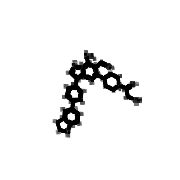 Nc1c(C=O)c(C2CCN(C(=O)CO)CC2)nc2c(-c3ccc(-c4ccc5c(c4)CCO5)nc3)cnn12